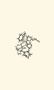 [2H]C([2H])([2H])c1nnn(C)c1-c1cnc2c3c(OC)ccc(S(C)(=O)=O)c3n([C@H](c3ccccc3)C3CCOCC3)c2c1